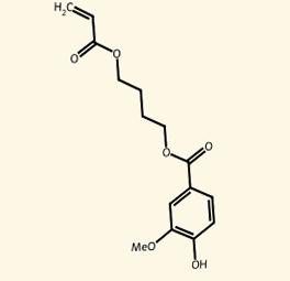 C=CC(=O)OCCCCOC(=O)c1ccc(O)c(OC)c1